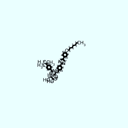 CCCCCCCOc1ccc(-c2cnc(-c3ccc(C[C@H](NC(=O)c4ccc(C(C)(C)C)cc4)C(=O)N[C@@H](CO)C(=O)O)cc3)nc2)cc1